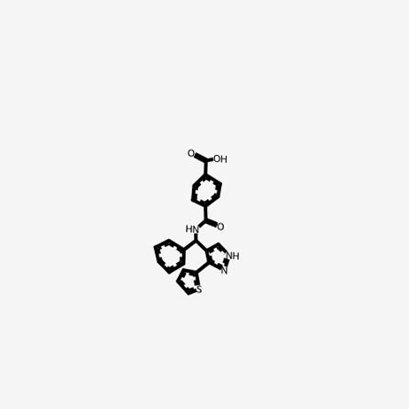 O=C(O)c1ccc(C(=O)NC(c2ccccc2)c2c[nH]nc2-c2cccs2)cc1